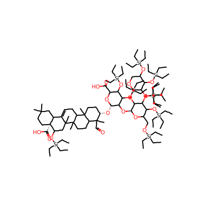 CC[Si](CC)(CC)OCC1O[C@@H](OC2C(O[C@@H]3OCC(O[Si](CC)(CC)CC)C(O[Si](CC)(CC)CC)C3O[Si](CC)(CC)CC)C(O[Si](CC)(CC)CC)C(C(=O)O)O[C@H]2O[C@H]2CCC3(C)C(CCC4(C)C3CC=C3C5CC(C)(C)CC[C@]5(C(=O)O)C(O[Si](CC)(CC)CC)CC34C)C2(C)C=O)C(O[Si](CC)(CC)CC)C(O[Si](CC)(CC)CC)C1O[Si](CC)(CC)CC